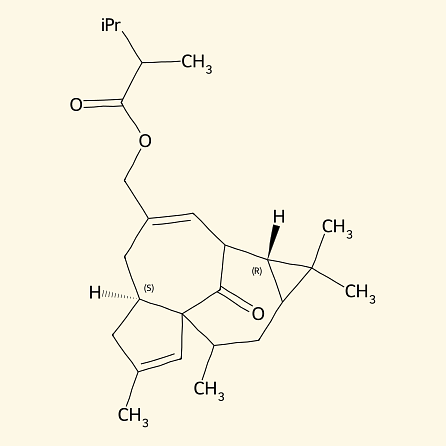 CC1=CC23C(=O)C(C=C(COC(=O)C(C)C(C)C)C[C@@H]2C1)[C@H]1C(CC3C)C1(C)C